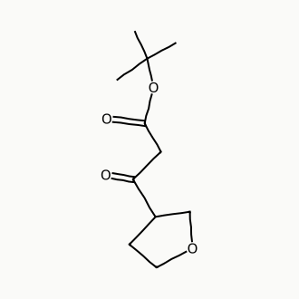 CC(C)(C)OC(=O)CC(=O)C1CCOC1